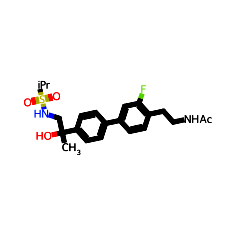 CC(=O)NCCc1ccc(-c2ccc(C(C)(O)CNS(=O)(=O)C(C)C)cc2)cc1F